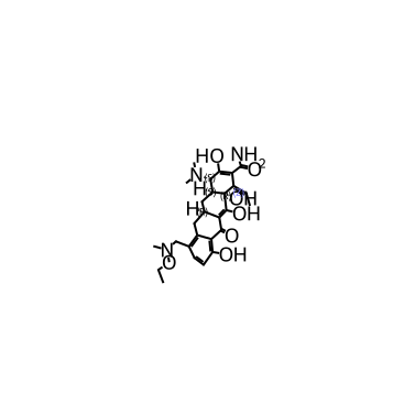 C/C=C1/C(C(N)=O)=C(O)[C@@H](N(C)C)[C@@H]2C[C@@H]3Cc4c(CN(C)OCC)ccc(O)c4C(=O)C3=C(O)[C@]12O